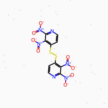 O=[N+]([O-])c1nccc(SSc2ccnc([N+](=O)[O-])c2[N+](=O)[O-])c1[N+](=O)[O-]